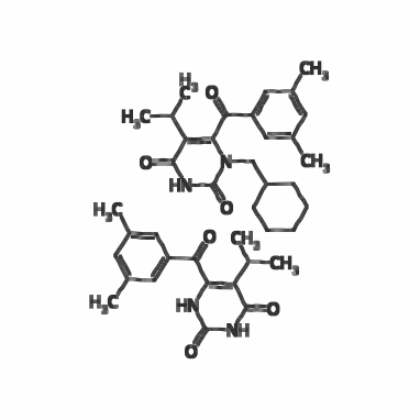 Cc1cc(C)cc(C(=O)c2[nH]c(=O)[nH]c(=O)c2C(C)C)c1.Cc1cc(C)cc(C(=O)c2c(C(C)C)c(=O)[nH]c(=O)n2CC2CCCCC2)c1